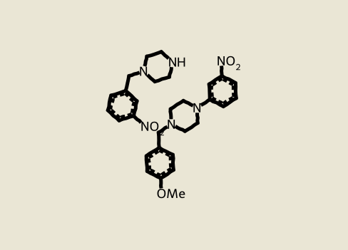 COc1ccc(CN2CCN(c3cccc([N+](=O)[O-])c3)CC2)cc1.O=[N+]([O-])c1cccc(CN2CCNCC2)c1